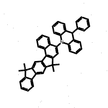 CC1(C)c2ccccc2-c2cc3c(cc21)-c1c(cc(N2c4ccccc4C(c4ccccc4)c4ccccc42)c2ccccc12)C3(C)C